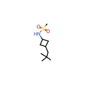 CC(C)(C)CC1CC(NS(C)(=O)=O)C1